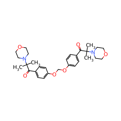 CC(C)(C(=O)c1ccc(OCOc2ccc(C(=O)C(C)(C)N3CCOCC3)cc2)cc1)N1CCOCC1